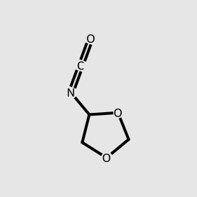 O=C=NC1COCO1